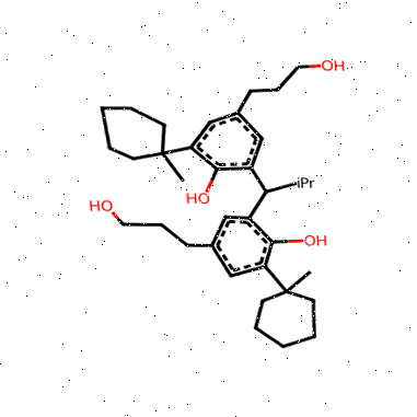 CC(C)C(c1cc(CCCO)cc(C2(C)CCCCC2)c1O)c1cc(CCCO)cc(C2(C)CCCCC2)c1O